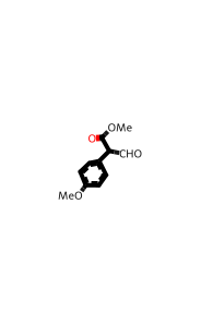 COC(=O)C(C=O)c1ccc(OC)cc1